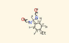 CCc1c(C)c(C)c(C(C)(N=C=O)N=C=O)c(C)c1C